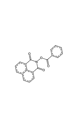 O=C(ON1C(=O)c2cccc3cccc(c23)C1=O)c1ccccc1